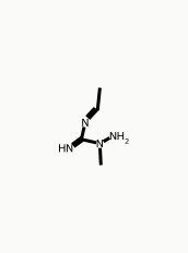 CC=NC(=N)N(C)N